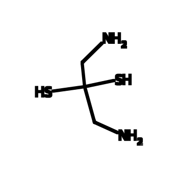 NCC(S)(S)CN